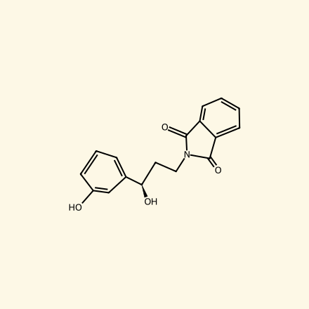 O=C1c2ccccc2C(=O)N1CC[C@@H](O)c1cccc(O)c1